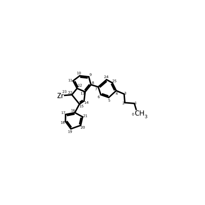 CCCCc1ccc(-c2cccc3c2C=C(c2ccccc2)[CH]3[Zr])cc1